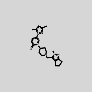 Cc1cc(C)n(-c2ccc(=O)n(C3CCN(Cc4c5c(nn4C)CCC5)CC3)n2)n1